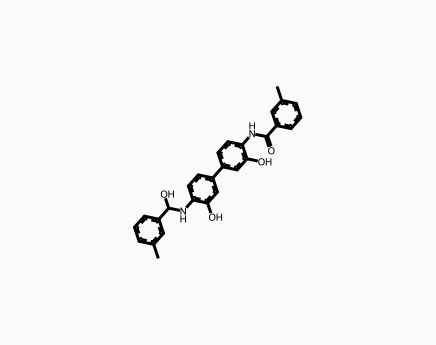 Cc1cccc(C(=O)Nc2ccc(-c3ccc(NC(O)c4cccc(C)c4)c(O)c3)cc2O)c1